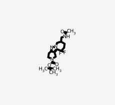 CC(=O)NCC1CCC(F)(F)c2c3c(nn2C1)CCN(C(=O)OC(C)(C)C)C3